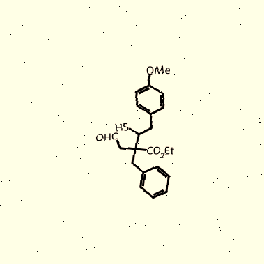 CCOC(=O)C(CC=O)(Cc1ccccc1)C(S)Cc1ccc(OC)cc1